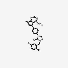 Cn1cc(-c2ccc(N3CCN(Cc4cc(F)ccc4F)C3=O)cc2)c2c(N)ncnc21